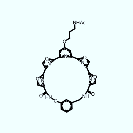 CC(=O)NCCCOc1cc2nc(c1)-c1nc(co1)-c1nc(co1)C(=O)NCc1cccc(c1)CNC(=O)c1coc(n1)-c1coc-2n1